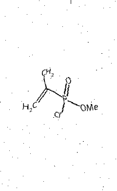 C=C(C)P(=O)(Cl)OC